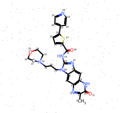 Cc1nc2cc3c(cc2[nH]c1=O)nc(NC(=O)c1ccc(-c2ccncc2)s1)n3CCCN1CCOCC1